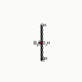 C=C(C)C(=O)O.CCOC(O)COCCOCCOCCOCCOCCOCCOCCOCCOCCOCCOCCOCCOCCOCCO